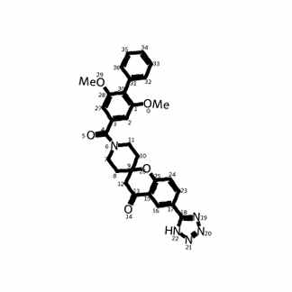 COc1cc(C(=O)N2CCC3(CC2)CC(=O)c2cc(-c4nnn[nH]4)ccc2O3)cc(OC)c1-c1ccccc1